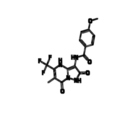 COc1ccc(C(=O)Nc2c(=O)[nH]n3c(=O)c(C)c(C(F)(F)F)[nH]c23)cc1